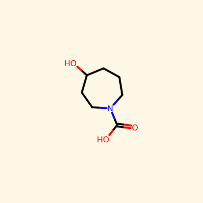 O=C(O)N1CCCC(O)CC1